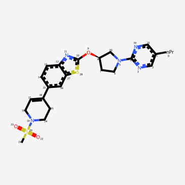 CCCc1cnc(N2CC[C@@H](Oc3nc4ccc(C5=CCN(S(C)(=O)=O)CC5)cc4s3)C2)nc1